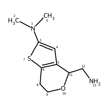 CN(C)c1cc2c(s1)CCOC2CN